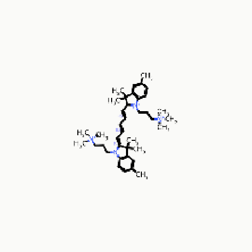 Cc1ccc2c(c1)C(C)(C)C(/C=C/C=C/C=C1/N(CCC[N+](C)(C)C)c3ccc(C)cc3C1(C)C)=[N+]2CCC[N+](C)(C)C